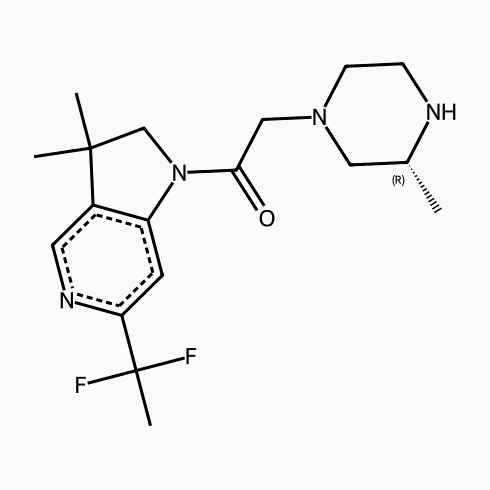 C[C@@H]1CN(CC(=O)N2CC(C)(C)c3cnc(C(C)(F)F)cc32)CCN1